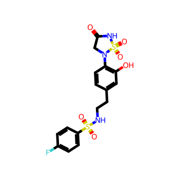 O=C1CN(c2ccc(CCNS(=O)(=O)c3ccc(F)cc3)cc2O)S(=O)(=O)N1